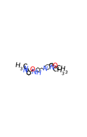 CC(C)Oc1ccc2c(n1)CCN(CCC1CCC(NC(=O)c3cccc4nn(C)cc34)CC1)CC2